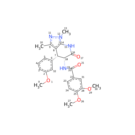 COc1cccc([C@@H]2c3c(C)nn(C)c3NC(=O)[C@@H]2NC(=O)c2ccc(OC)c(OC)c2)c1